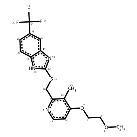 COCCOc1ccnc(CSc2nc3cc(C(F)(F)F)ccc3[nH]2)c1C